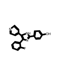 Oc1ccc(-c2nc(-c3ccccc3F)c(-c3ccncc3)[nH]2)cc1